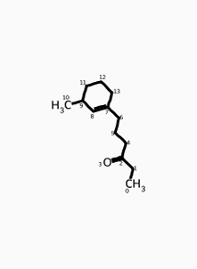 CCC(=O)CCCC1=CC(C)CCC1